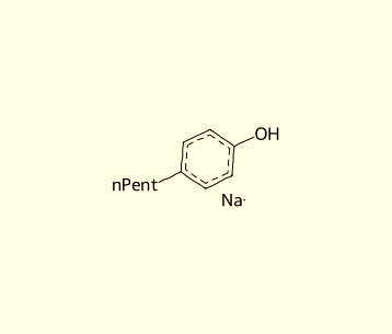 CCCCCc1ccc(O)cc1.[Na]